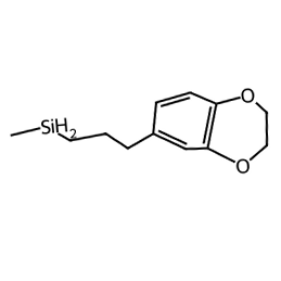 C[SiH2]CCCc1ccc2c(c1)OCCO2